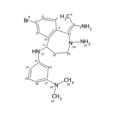 C/C(N)=C1\c2ccc(Br)cc2C(Nc2cccc(N(C)C)c2)CCN1N